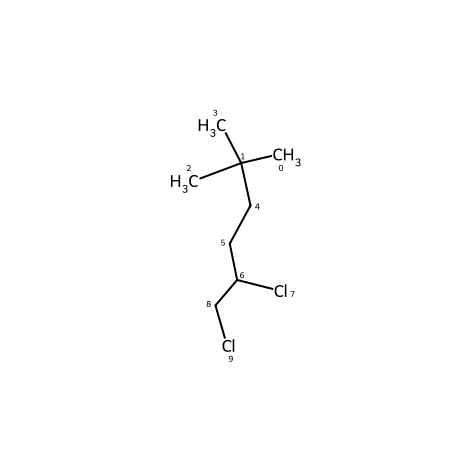 CC(C)(C)CCC(Cl)CCl